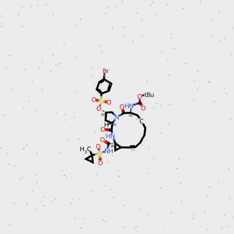 CC(C)(C)OC(=O)N[C@H]1CCCCC/C=C\C2C[C@@]2(C(=O)NS(=O)(=O)C2(C)CC2)NC(=O)[C@@H]2C[C@H](OS(=O)(=O)c3ccc(Br)cc3)CN2C1=O